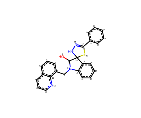 OC1N(Cc2cccc3cccnc23)c2ccccc2C12NN=C(c1ccccc1)S2